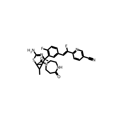 CC1C2[C@@]1(C(=O)N1CCNC(=O)CC1)SC(N)=N[C@]2(C)c1cc(/C=C(\F)c2ccc(C#N)cn2)ccc1F